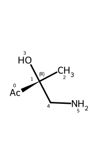 CC(=O)[C@](C)(O)CN